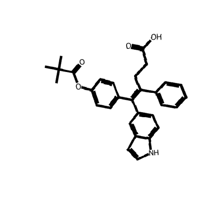 CC(C)(C)C(=O)Oc1ccc(/C(=C(\CCC(=O)O)c2ccccc2)c2ccc3[nH]ccc3c2)cc1